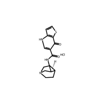 Cl.O=C(N[C@@H]1CN2CCC1CC2)c1c[nH]c2ccsc2c1=O